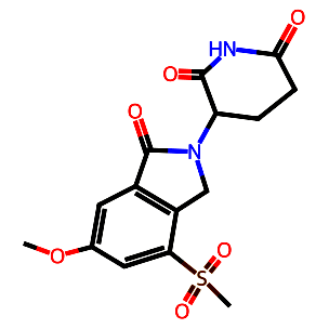 COc1cc2c(c(S(C)(=O)=O)c1)CN(C1CCC(=O)NC1=O)C2=O